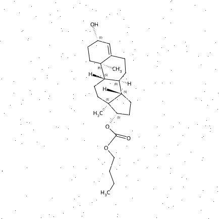 CCCCOC(=O)O[C@H]1CC[C@H]2[C@@H]3CCC4=C[C@@H](O)CC[C@]4(C)[C@H]3CC[C@]12C